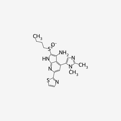 CCCC[S+]([O-])c1[nH]c2nc(-c3nccs3)cc(-c3cnc(C)n3C)c2c1N